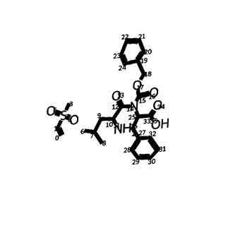 C=CS(C)(=O)=O.CC(C)CC(N)C(=O)N(C(=O)OCc1ccccc1)C(Cc1ccccc1)C(=O)O